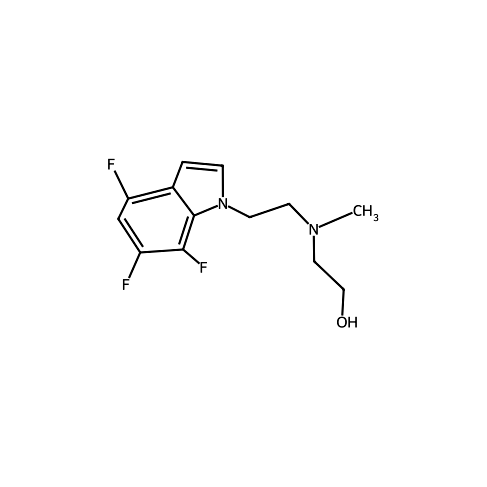 CN(CCO)CCn1ccc2c(F)cc(F)c(F)c21